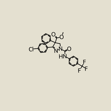 COC(=O)C1(c2ccccc2)CN(C(=O)Nc2ccc(C(F)(F)F)cc2)N=C1c1ccc(Cl)cc1